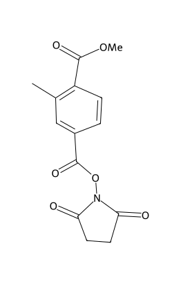 COC(=O)c1ccc(C(=O)ON2C(=O)CCC2=O)cc1C